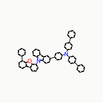 c1ccc(-c2ccc(N(c3ccc(-c4ccccc4)cc3)c3ccc(-c4ccc5c(c4)c4ccccc4n5-c4cccc5c4oc4c(-c6ccccc6)cccc45)cc3)cc2)cc1